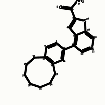 NC(=O)c1cc2c(-c3ccc4c(c3)CCCCCCC4)cncc2s1